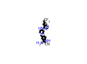 N#Cc1[nH]c2ccc(CN3CCC(Nc4ncnc5sc(CC(F)(F)F)cc45)CC3)cc2c1N